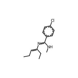 CC/C=C(CC)/N=C(\NC)c1ccc(Cl)cc1